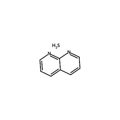 S.c1cnc2ncccc2c1